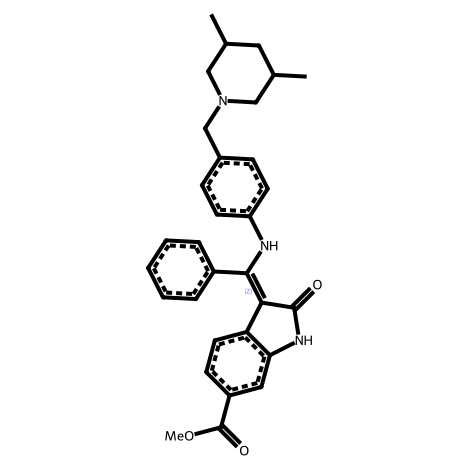 COC(=O)c1ccc2c(c1)NC(=O)/C2=C(\Nc1ccc(CN2CC(C)CC(C)C2)cc1)c1ccccc1